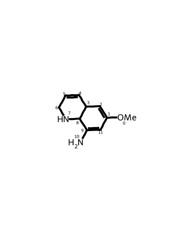 COC1=CC2C=CCNC2C(N)=C1